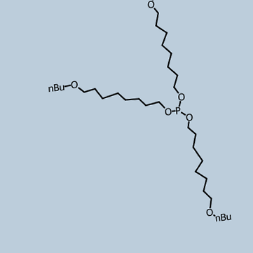 CCCCOCCCCCCCCOP(OCCCCCCCCOCCCC)OCCCCCCCCOCCCC